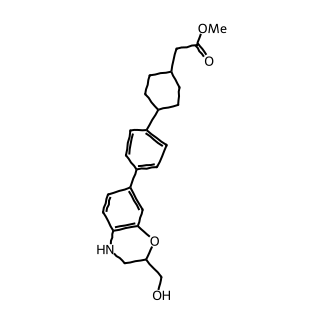 COC(=O)CC1CCC(c2ccc(-c3ccc4c(c3)OC(CO)CN4)cc2)CC1